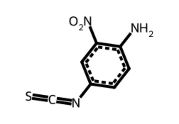 Nc1ccc(N=C=S)cc1[N+](=O)[O-]